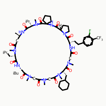 CC[C@H](C)[C@@H]1NC(=O)[C@H](CC(C)C)N(C)C(=O)C[C@@H](C)NC(=O)[C@H](C(C)C)N(C)C(=O)C2(CCCC2)NC(=O)[C@@H]2CCCN2C(=O)[C@H](CCc2ccc(C(F)(F)F)c(F)c2)NC(=O)CN(C)C(=O)[C@H](CC2CCCCC2)N(C)C(=O)CN(C)C(=O)CN(C)C1=O